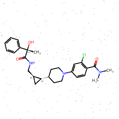 CN(C)C(=O)c1ccc(N2CCC([C@@H]3C[C@H]3CNC(=O)[C@@](C)(O)c3ccccc3)CC2)cc1Cl